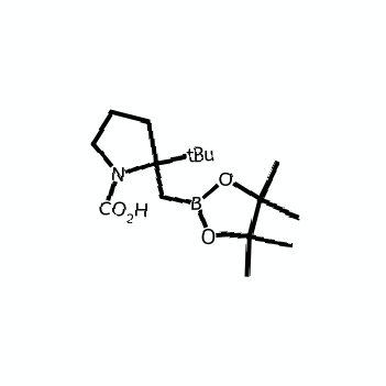 CC(C)(C)C1(CB2OC(C)(C)C(C)(C)O2)CCCN1C(=O)O